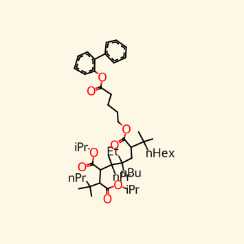 CCCCCCC(C)(C)C(CC(CC)(CCCC)C(C)(CCC)C(C(=O)OC(C)C)C(C(=O)OC(C)C)C(C)(C)CCC)C(=O)OCCCCC(=O)Oc1ccccc1-c1ccccc1